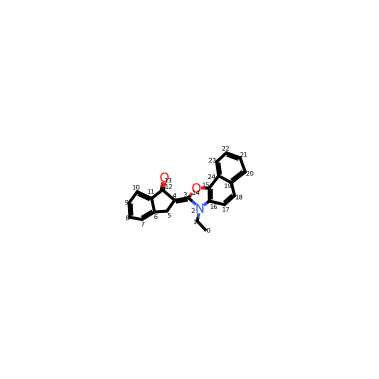 CCN1/C(=C2\Cc3ccccc3C2=O)Oc2c1ccc1ccccc21